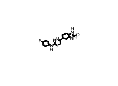 O=c1[nH]c2ccc(C3=NN=C(Nc4ccc(F)cc4)SC3)cc2[nH]1